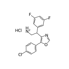 Cl.NCC(c1cc(F)cc(F)c1)c1ncoc1-c1ccc(Cl)cc1